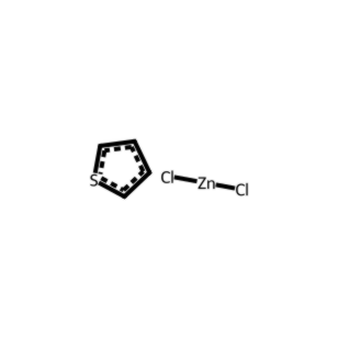 [Cl][Zn][Cl].c1ccsc1